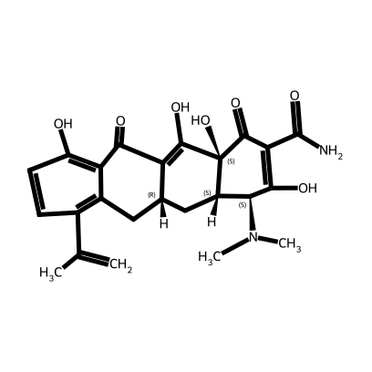 C=C(C)c1ccc(O)c2c1C[C@H]1C[C@H]3[C@H](N(C)C)C(O)=C(C(N)=O)C(=O)[C@@]3(O)C(O)=C1C2=O